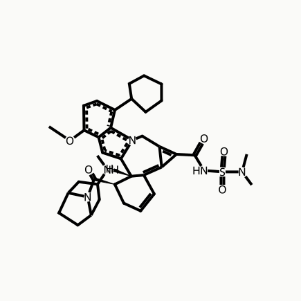 CNC1CC2CCC(C1)N2C(=O)[C@@H]1CC=CC2=C3C(=C3C(=O)NS(=O)(=O)N(C)C)Cn3c(cc4c(OC)ccc(C5CCCCC5)c43)[C@H]21